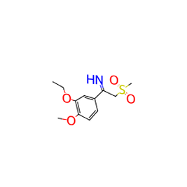 CCOc1cc(C(=N)CS(C)(=O)=O)ccc1OC